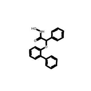 O=C(NO)C(Oc1ccccc1-c1ccccc1)c1ccccc1